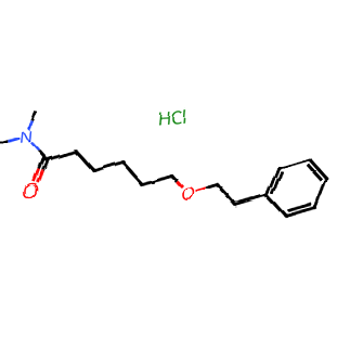 CN(C)C(=O)CCCCCOCCc1ccccc1.Cl